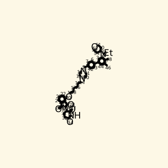 CCN(c1cc(-c2ccc(CN3CCN(CCCCCCOc4cccc5c4C(=O)N(C4CCC(=O)NC4=O)C5=O)CC3)cc2)cc(C)c1C)C1CCOCC1